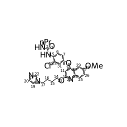 CCCNC(=O)Nc1ccc(Oc2cc(OCCCCn3ccnc3)nc3ccc(OC)cc23)cc1Cl